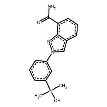 C[Si](C)(O)c1cccc(-n2cc3cccc(C(N)=O)c3n2)c1